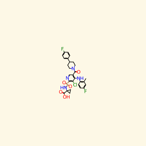 Cc1cc(F)ccc1Nc1c(C(=O)N2CCC(c3ccc(F)cc3)CC2)cnc(S(=O)(=O)NC2(C(=O)O)CC2)c1Cl